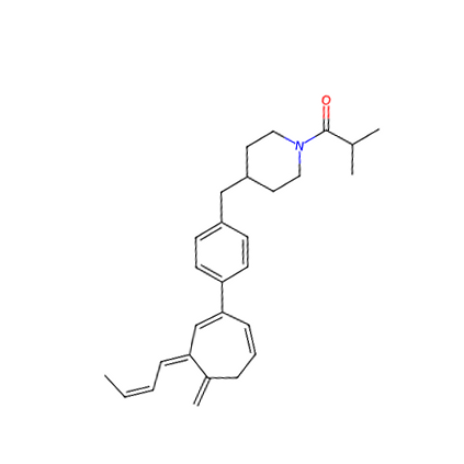 C=C1CC=CC(c2ccc(CC3CCN(C(=O)C(C)C)CC3)cc2)=C/C1=C/C=C\C